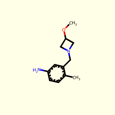 COC1CN(Cc2cc(N)ccc2C)C1